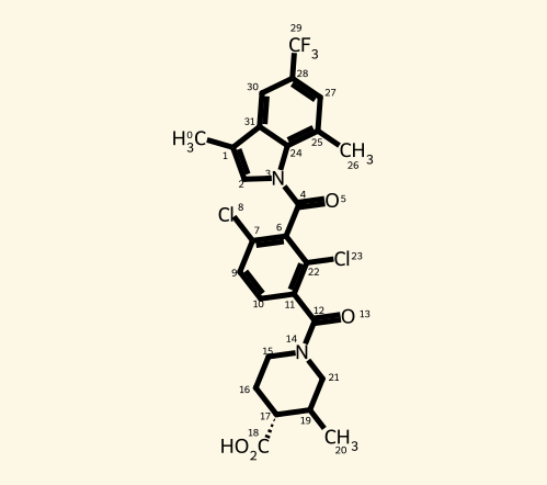 Cc1cn(C(=O)c2c(Cl)ccc(C(=O)N3CC[C@@H](C(=O)O)C(C)C3)c2Cl)c2c(C)cc(C(F)(F)F)cc12